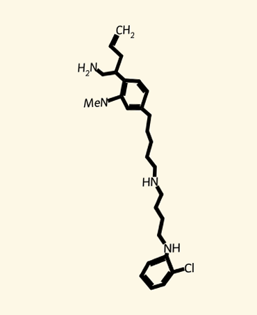 C=CCC(CN)c1ccc(CCCCCNCCCCNc2ccccc2Cl)cc1NC